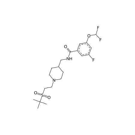 CC(C)(C)S(=O)(=O)CCN1CCC(CNC(=O)c2cc(F)cc(OC(F)F)c2)CC1